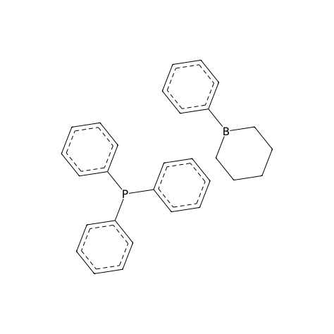 c1ccc(B2CCCCC2)cc1.c1ccc(P(c2ccccc2)c2ccccc2)cc1